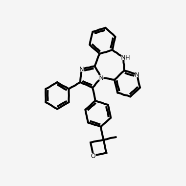 CC1(c2ccc(-c3c(-c4ccccc4)nc4n3-c3cccnc3Nc3ccccc3-4)cc2)COC1